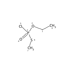 CCOP(=O)(Cl)SC